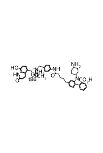 CC(C)(C)[Si](C)(C)O[C@@H](CNCc1ccc(NC(=O)CCCCc2ccc(-c3ccccc3)c(N(C(=O)O)[C@H]3CC[C@H](N)CC3)c2)cc1)c1ccc(O)c2[nH]c(=O)ccc12